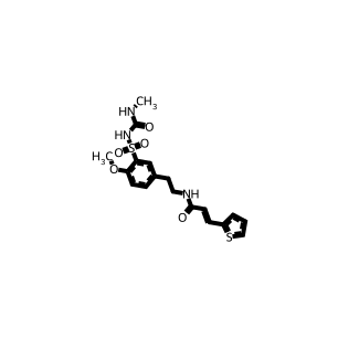 CNC(=O)NS(=O)(=O)c1cc(CCNC(=O)C=Cc2cccs2)ccc1OC